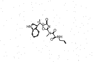 C=CCNC(=O)C(=O)N(C)C1=NC(=O)[C@H]([C@H](C)c2c[nH]c3ccccc23)O1